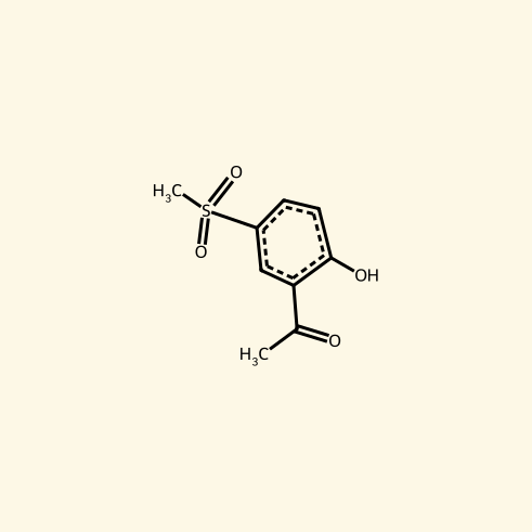 CC(=O)c1cc(S(C)(=O)=O)ccc1O